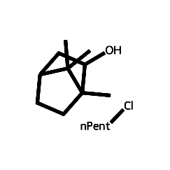 CC1(C)C2CCC1(C)C(O)C2.CCCCCCl